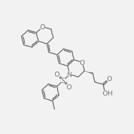 Cc1cccc(S(=O)(=O)N2C[C@H](CCC(=O)O)Oc3ccc(/C=C4\CCOc5ccccc54)cc32)c1